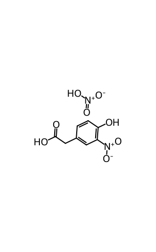 O=C(O)Cc1ccc(O)c([N+](=O)[O-])c1.O=[N+]([O-])O